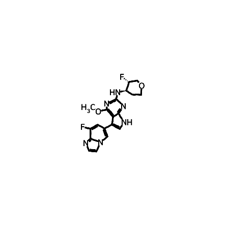 COc1nc(N[C@@H]2CCOC[C@H]2F)nc2[nH]cc(-c3cc(F)c4nccn4c3)c12